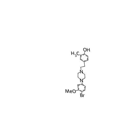 COc1cc(N2CCN(CCc3ccc(O)c(C)c3)CC2)ccc1Br